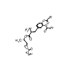 CCCCOC(=O)OC[C@H](C)OC(=O)[C@@H](N)Cc1ccc(OC(=O)C(C)C)c(OC(=O)C(C)C)c1